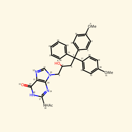 COc1ccc(C(CC(O)Cn2cnc3c(=O)[nH]c(NC(C)=O)nc32)(c2ccccc2)c2ccc(OC)cc2)cc1